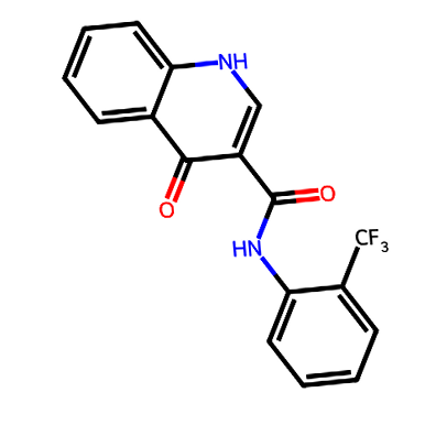 O=C(Nc1ccccc1C(F)(F)F)c1c[nH]c2ccccc2c1=O